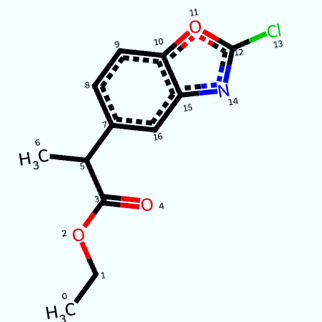 CCOC(=O)C(C)c1ccc2oc(Cl)nc2c1